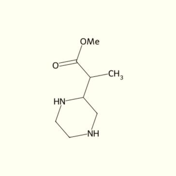 COC(=O)C(C)C1CNCCN1